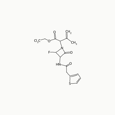 C=C(C)C(C(=O)OCC(Cl)(Cl)Cl)N1C(=O)C(NC(=O)Cc2cccs2)C1F